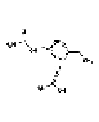 C.CCc1ccc(F)cc1.NC(O)=S.NC(O)=S